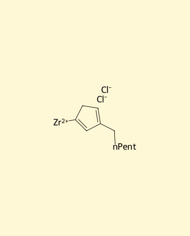 CCCCCCC1=CC[C]([Zr+2])=C1.[Cl-].[Cl-]